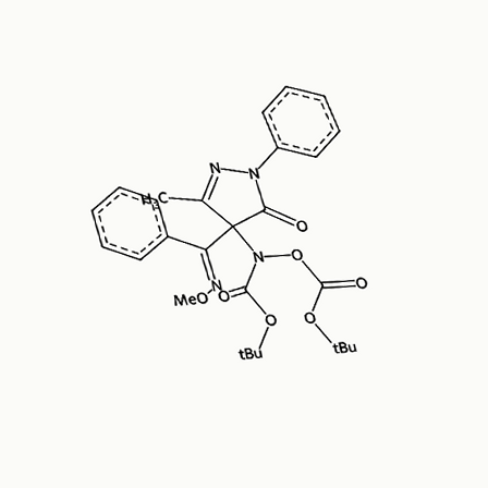 CON=C(c1ccccc1)C1(N(OC(=O)OC(C)(C)C)C(=O)OC(C)(C)C)C(=O)N(c2ccccc2)N=C1C